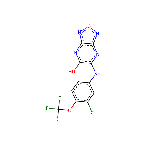 Oc1nc2nonc2nc1Nc1ccc(OC(F)(F)F)c(Cl)c1